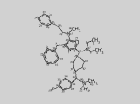 CCN(CC)C(c1nc(Cc2ccccc2)c(N(C)CCc2ccccc2)o1)C1CCC(C(c2ccc(F)cc2)N(C)C)CC1